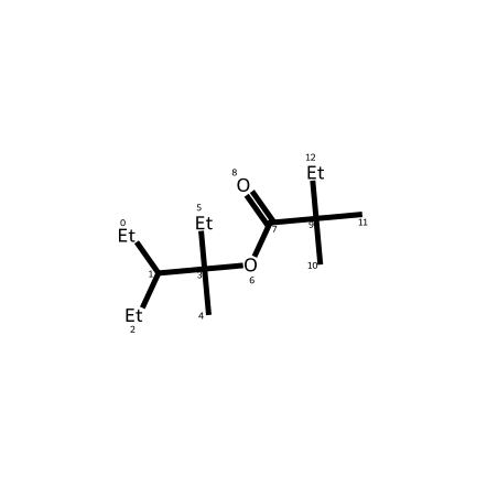 CCC(CC)C(C)(CC)OC(=O)C(C)(C)CC